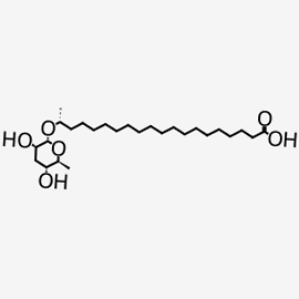 C[C@H](CCCCCCCCCCCCCCCCCC(=O)O)O[C@@H]1O[C@@H](C)[C@H](O)C[C@H]1O